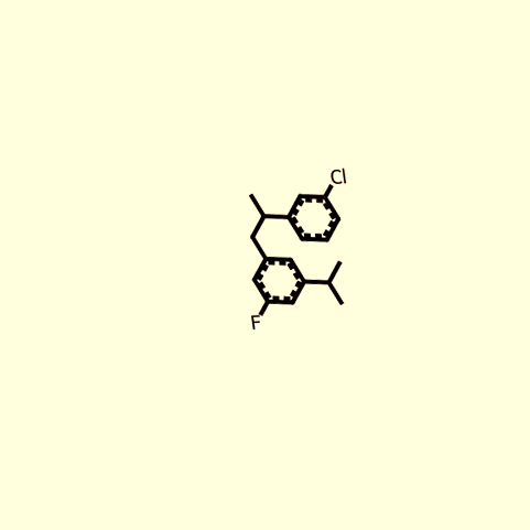 CC(C)c1cc(F)cc(CC(C)c2cccc(Cl)c2)c1